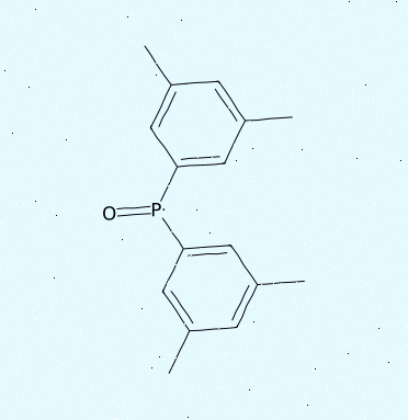 Cc1cc(C)cc([P](=O)c2cc(C)cc(C)c2)c1